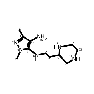 Cc1nn(C)c(NCCC2CNCCN2)c1N